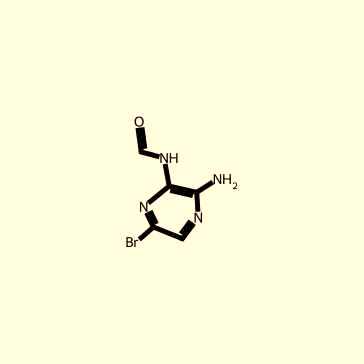 Nc1ncc(Br)nc1NC=O